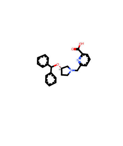 O=C(O)c1cccc(CN2CC[C@H](OC(c3ccccc3)c3ccccc3)C2)n1